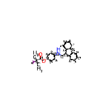 CC(C)(I)C(=O)Oc1ccc(NCC2c3ccccc3-c3ccccc32)cc1